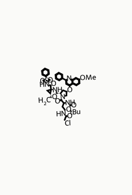 C=C[C@@H]1C[C@]1(NC(=O)[C@@H]1C[C@@H](Oc2cc(-c3ccccc3)nc3cc(OC)ccc23)CN1C(=O)C(CCNC(=O)CCl)NC(=O)OC(C)(C)C)C(=O)NS(=O)(=O)c1ccccc1